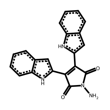 NN1C(=O)C(c2cc3ccccc3[nH]2)=C(c2cc3ccccc3[nH]2)C1=O